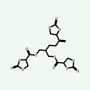 C=C(CCC(COC(=O)C1COC(=O)O1)COC(=O)C1COC(=O)O1)C1COC(=O)O1